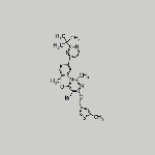 Cc1cc(COc2nc(C)n(-c3cc(-c4ccnc(C(C)(C)C)n4)ccc3C)c(=O)c2Br)cs1